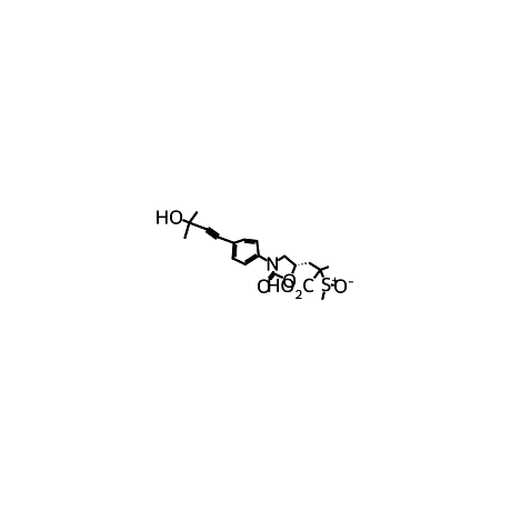 C[S+]([O-])C(C)(C[C@H]1CN(c2ccc(C#CC(C)(C)O)cc2)C(=O)O1)C(=O)O